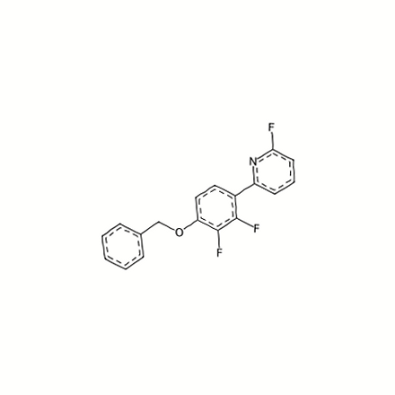 Fc1cccc(-c2ccc(OCc3ccccc3)c(F)c2F)n1